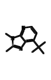 Cc1nc2c(C(C)(C)C)ccnc2n1C